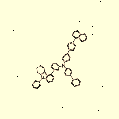 C1=Cc2c(n(-c3ccccc3)c3cccc(-c4cccc(N(c5ccc(-c6ccccc6)cc5)c5ccc(-c6ccc(-c7cccc8ccccc78)cc6)cc5)c4)c23)CC1